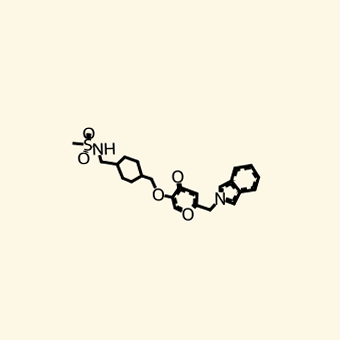 CS(=O)(=O)NCC1CCC(COc2coc(Cn3cc4ccccc4c3)cc2=O)CC1